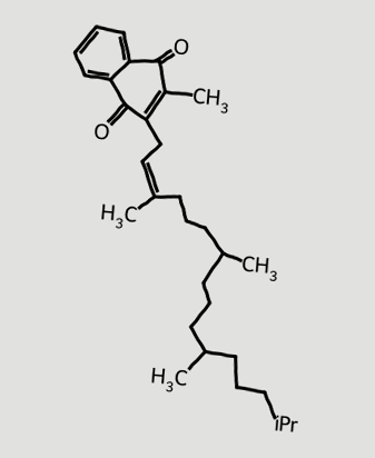 CC(=CCC1=C(C)C(=O)c2ccccc2C1=O)CCCC(C)CCCC(C)CCCC(C)C